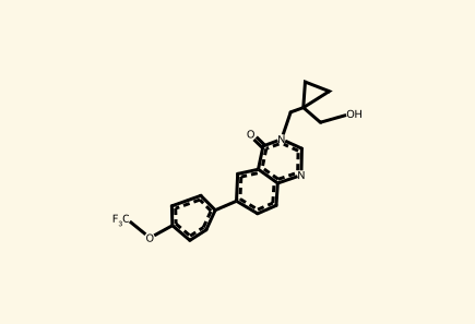 O=c1c2cc(-c3ccc(OC(F)(F)F)cc3)ccc2ncn1CC1(CO)CC1